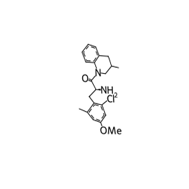 COc1cc(C)c(C[C@H](N)C(=O)N2CC(C)Cc3ccccc32)c(Cl)c1